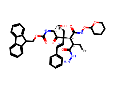 CC(C)C[C@@H](C(=O)NN)[C@H](C(=O)NOC1CCCCO1)C(/C=C/c1ccccc1)(CC(C)C)C(=O)[C@@H](CO)NC(=O)OCC1c2ccccc2-c2ccccc21